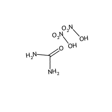 NC(N)=O.O=[N+]([O-])O.O=[N+]([O-])O